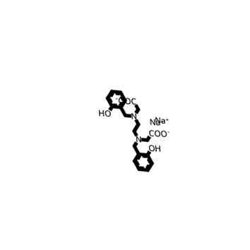 O=C([O-])CN(CCN(CC(=O)[O-])Cc1ccccc1O)Cc1ccccc1O.[Na+].[Na+]